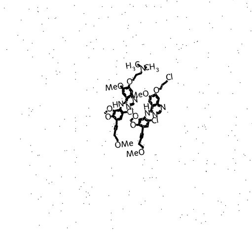 COCCC#Cc1cc(Cl)c(Nc2ncnc3cc(OCCCCl)c(OC)cc23)c2c1OCO2.COCCC#Cc1cc(Cl)c(Nc2ncnc3cc(OCCCN(C)C)c(OC)cc23)c2c1OCO2